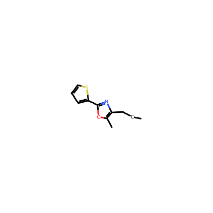 CCCc1nc(-c2cccs2)oc1C